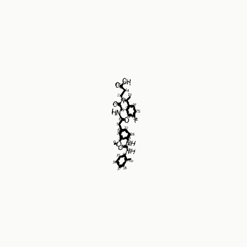 COc1cc(CC(=O)NCC(=O)N(CCC(=O)O)C(C)c2ccc(F)cc2)ccc1NC(=O)Nc1ccccc1C